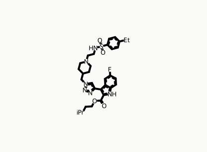 CCc1ccc(S(=O)(=O)NCCN2CCC(Cn3cc(-c4c(C(=O)OCCC(C)C)[nH]c5ccc(F)cc45)nn3)CC2)cc1